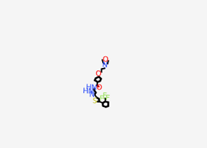 O=C(Nc1cc(-c2cc(-c3ccccc3C(F)(F)F)cs2)n[nH]1)c1ccc(OCCCN2CCOCC2)cc1